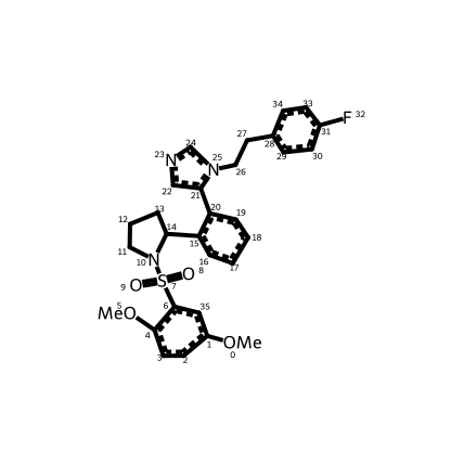 COc1ccc(OC)c(S(=O)(=O)N2CCCC2c2ccccc2-c2cncn2CCc2ccc(F)cc2)c1